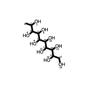 CC(O)C(O)C(O)C(O)C(O)C(O)C(O)C(O)CO